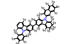 [2H]C1=c2c(n(-c3c([2H])c([2H])c4c([2H])c([2H])c([2H])c([2H])c4c3[2H])c3c([2H])c([2H])c(-c4c([2H])c([2H])c5c(c4[2H])c4c([2H])ccc([2H])c4n5-c4c([2H])c([2H])c([2H])c([2H])c4[2H])c([2H])c23)=C([2H])C([2H])([2H])C1([2H])[2H]